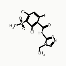 CCn1cnnc1NC(=O)c1c(F)cc(Cl)c(S(C)(=O)=O)c1Cl